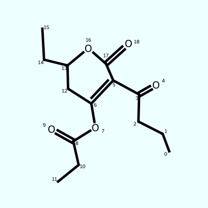 CCCC(=O)C1=C(OC(=O)CC)CC(CC)OC1=O